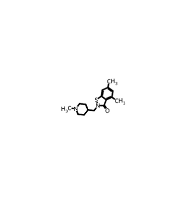 Cc1cc(C)c2c(=O)n(CC3CCN(C)CC3)sc2c1